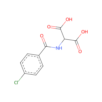 O=C(NC(C(=O)O)C(=O)O)c1ccc(Cl)cc1